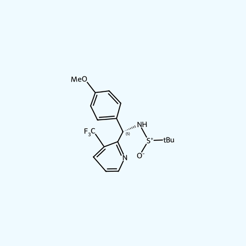 COc1ccc([C@H](N[S+]([O-])C(C)(C)C)c2ncccc2C(F)(F)F)cc1